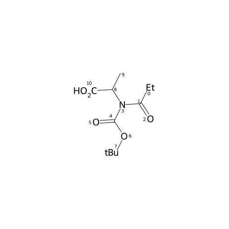 CCC(=O)N(C(=O)OC(C)(C)C)C(C)C(=O)O